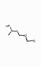 CCCN(C)CCOCC(C)=O